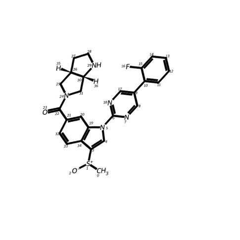 C[S+]([O-])c1cn(-c2ncc(-c3ccccc3F)cn2)c2cc(C(=O)N3C[C@@H]4CCN[C@@H]4C3)ccc12